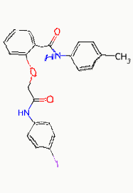 Cc1ccc(NC(=O)c2ccccc2OCC(=O)Nc2ccc(I)cc2)cc1